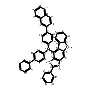 c1ccc(-c2ccc(N(c3ccc(-c4ccc5ccccc5c4)cc3)c3c4sc(-c5ccccc5)nc4cc4oc5ccccc5c34)cc2)cc1